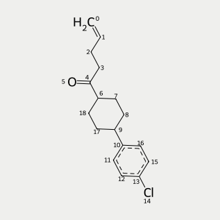 C=CCCC(=O)C1CCC(c2ccc(Cl)cc2)CC1